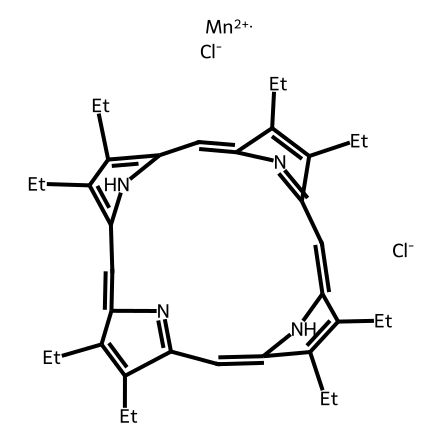 CCC1=C(CC)c2cc3[nH]c(cc4nc(cc5[nH]c(cc1n2)c(CC)c5CC)C(CC)=C4CC)c(CC)c3CC.[Cl-].[Cl-].[Mn+2]